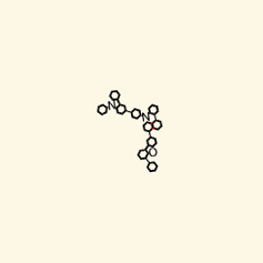 c1ccc(-c2ccccc2N(c2ccc(-c3ccc4oc5c(-c6ccccc6)cccc5c4c3)cc2)c2ccc(-c3ccc4c(c3)c3ccccc3n4-c3ccccc3)cc2)cc1